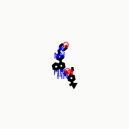 CCOc1ccc(C2(C)CC2)cc1NC(=O)Nc1ccc(-c2cnc(CN3CCOCC3)nc2)c2ccccc12